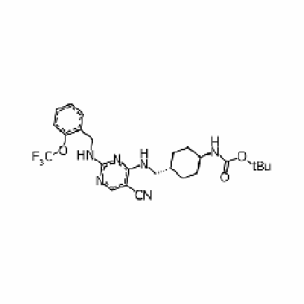 CC(C)(C)OC(=O)N[C@H]1CC[C@H](CNc2nc(NCc3ccccc3OC(F)(F)F)ncc2C#N)CC1